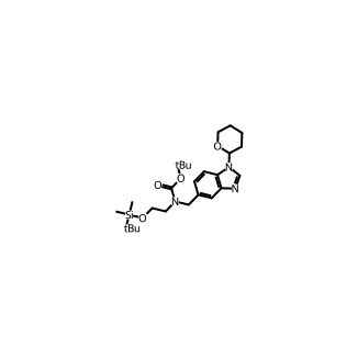 CC(C)(C)OC(=O)N(CCO[Si](C)(C)C(C)(C)C)Cc1ccc2c(c1)ncn2C1CCCCO1